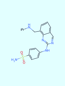 CC(C)NCc1cccc2cnc(Nc3ccc(S(N)(=O)=O)cc3)nc12